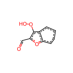 O=[C]c1oc2ccccc2c1OO